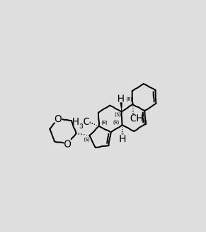 C[C@]12CC[C@H]3[C@@H](CC=C4C=CCC[C@@]43C)C1=CC[C@@H]2C1COCCO1